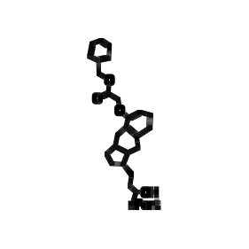 CCCCCC(O)CC[C@H]1CCC2Cc3c(cccc3OCC(=O)OCc3ccccc3)CC21